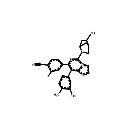 Cc1ccc(-c2c(-c3ccc(C#N)c(F)c3)nc(N3CC4CC3CC4N)n3ccnc23)cc1O